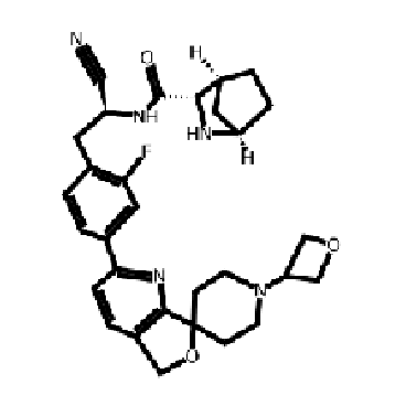 N#C[C@H](Cc1ccc(-c2ccc3c(n2)C2(CCN(C4COC4)CC2)OC3)cc1F)NC(=O)[C@H]1N[C@@H]2CC[C@H]1C2